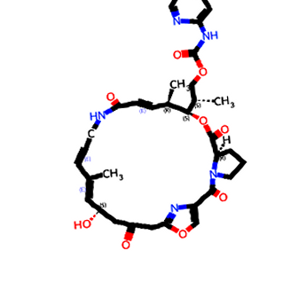 CC1=C\[C@@H](O)CC(=O)Cc2nc(co2)C(=O)N2CCC[C@@H]2C(=O)O[C@H]([C@@H](C)COC(=O)Nc2ccccn2)[C@H](C)/C=C/C(=O)NC\C=C\1